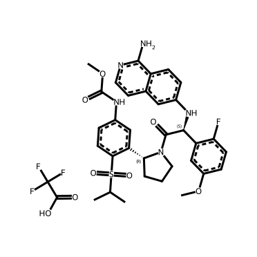 COC(=O)Nc1ccc(S(=O)(=O)C(C)C)c([C@H]2CCCN2C(=O)[C@@H](Nc2ccc3c(N)nccc3c2)c2cc(OC)ccc2F)c1.O=C(O)C(F)(F)F